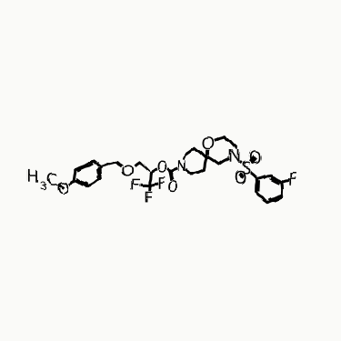 COc1ccc(COC[C@@H](OC(=O)N2CCC3(CC2)CN(S(=O)(=O)c2cccc(F)c2)CCO3)C(F)(F)F)cc1